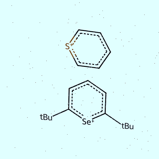 CC(C)(C)c1cccc(C(C)(C)C)[se+]1.c1cc[s+]cc1